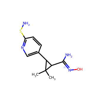 CC1(C)C(/C(N)=N/O)C1c1ccc(SN)nc1